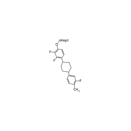 CCCCCCCOc1ccc(C2CCC(c3ccc(C)c(F)c3)CC2)c(F)c1F